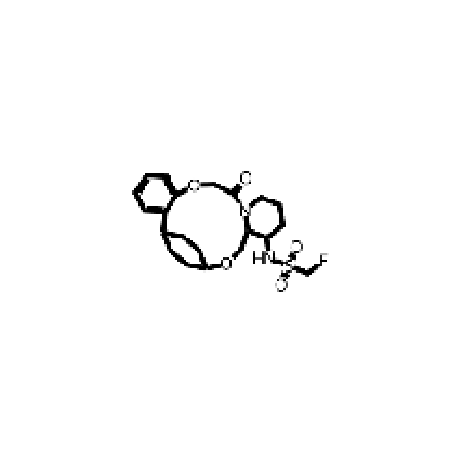 O=C1COc2ccccc2C2CCC(CC2)OCC2C(NS(=O)(=O)CF)CCCN12